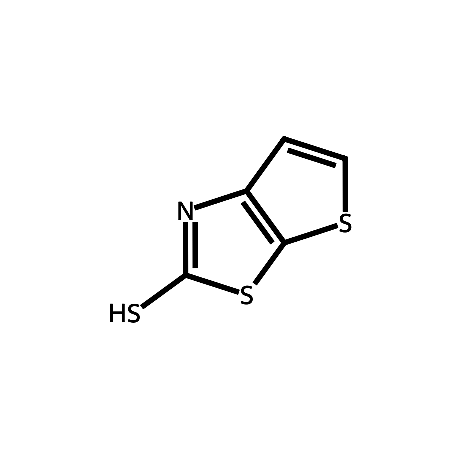 Sc1nc2ccsc2s1